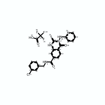 O=C(NCc1cccc(Cl)c1)c1ccc2c(=O)n(Nc3ccccn3)c(=S)[nH]c2c1.O=C(O)C(F)(F)F